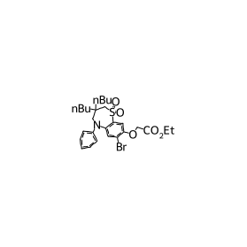 CCCCC1(CCCC)CN(c2ccccc2)c2cc(Br)c(OCC(=O)OCC)cc2S(=O)(=O)C1